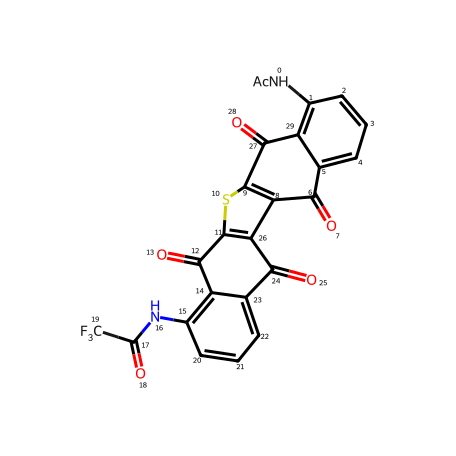 CC(=O)Nc1cccc2c(=O)c3c(sc4c(=O)c5c(NC(=O)C(F)(F)F)cccc5c(=O)c43)c(=O)c12